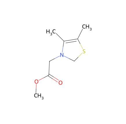 COC(=O)CN1CSC(C)=C1C